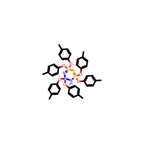 Cc1ccc(O[N+]2(Oc3ccc(C)cc3)N=P(Oc3ccc(C)cc3)(Oc3ccc(C)cc3)P=P(Oc3ccc(C)cc3)(Oc3ccc(C)cc3)N2)cc1